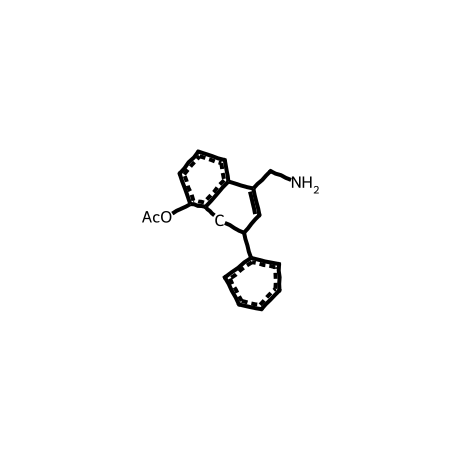 CC(=O)Oc1cccc2c1CC(c1ccccc1)C=C2CN